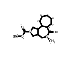 CN1CC2CN(C(=O)OC(C)(C)C)CC2C2CCCCCC2C1=O